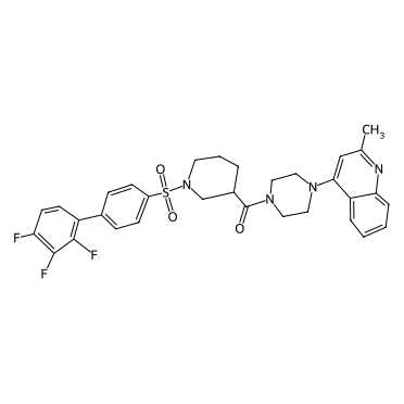 Cc1cc(N2CCN(C(=O)C3CCCN(S(=O)(=O)c4ccc(-c5ccc(F)c(F)c5F)cc4)C3)CC2)c2ccccc2n1